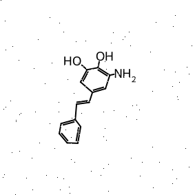 Nc1cc(C=Cc2ccccc2)cc(O)c1O